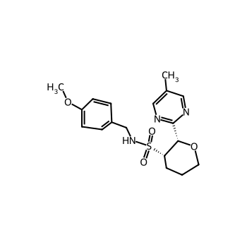 COc1ccc(CNS(=O)(=O)[C@H]2CCCO[C@H]2c2ncc(C)cn2)cc1